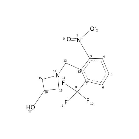 O=[N+]([O-])c1cccc(C(F)(F)F)c1CN1CC(O)C1